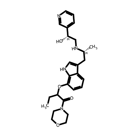 CCC(Oc1cccc2c(C[C@@H](C)NC[C@H](O)c3cccnc3)c[nH]c12)C(=O)N1CCOCC1